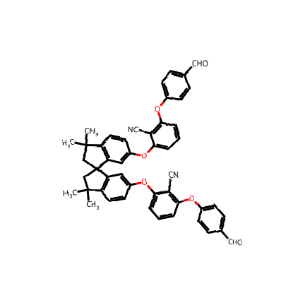 CC1(C)CC2(CC(C)(C)c3ccc(Oc4cccc(Oc5ccc(C=O)cc5)c4C#N)cc32)c2cc(Oc3cccc(Oc4ccc(C=O)cc4)c3C#N)ccc21